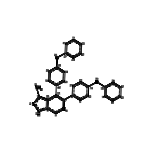 Nc1n[nH]c2cnc(-c3ccc(Oc4ccccc4)cc3)c(-c3ccc(Oc4ccccc4)cc3)c12